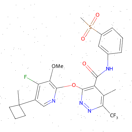 COc1c(Oc2nnc(C(F)(F)F)c(C)c2C(=O)Nc2cccc(S(C)(=O)=O)c2)ncc(C2(C)CCC2)c1F